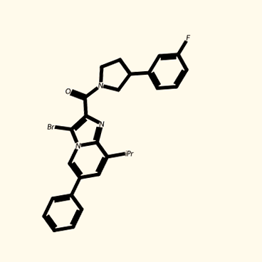 CC(C)c1cc(-c2ccccc2)cn2c(Br)c(C(=O)N3CCC(c4cccc(F)c4)C3)nc12